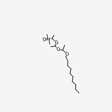 CCCCCCCCCCOC(C)OC(C)OC(C)[N+](C)(C)[O-]